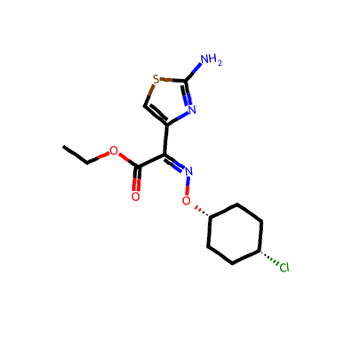 CCOC(=O)C(=NO[C@H]1CC[C@@H](Cl)CC1)c1csc(N)n1